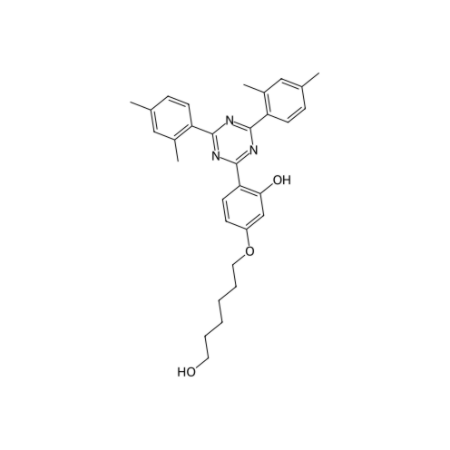 Cc1ccc(-c2nc(-c3ccc(C)cc3C)nc(-c3ccc(OCCCCCCO)cc3O)n2)c(C)c1